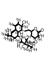 [2H]O[C@@H]1CC(CC[C@@H]2[C@@H]3C(=C([2H])[C@]([2H])(C([2H])([2H])[2H])C([2H])([2H])C3OC(=O)C(C)(C([2H])([2H])[2H])C([2H])([2H])C([2H])([2H])[2H])C([2H])=C([2H])[C@]2([2H])C)OC(=O)C1([2H])[2H]